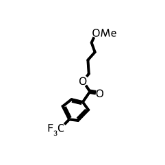 COCCCCOC(=O)c1ccc(C(F)(F)F)cc1